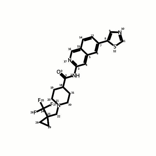 O=C(Nc1cc2cc(-c3cncs3)ccc2cn1)C1CCN(CC2(C(F)(F)F)CC2)CC1